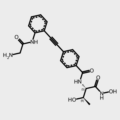 C[C@@H](O)[C@H](NC(=O)c1ccc(C#Cc2ccccc2NC(=O)CN)cc1)C(=O)NO